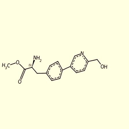 COC(=O)[C@@H](N)Cc1ccc(-c2ccc(CO)nc2)cc1